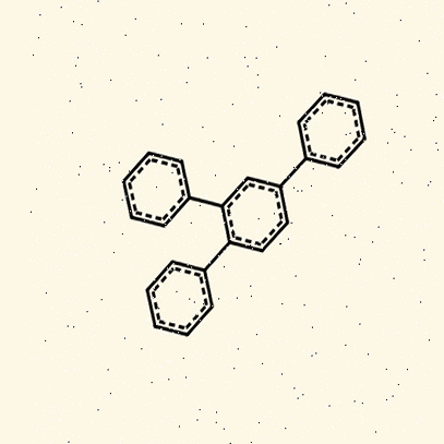 [c]1cc(-c2ccccc2)c(-c2ccccc2)cc1-c1ccccc1